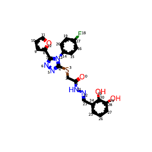 O=C(CSc1nnc(-c2ccco2)n1-c1ccc(F)cc1)NN=Cc1cccc(O)c1O